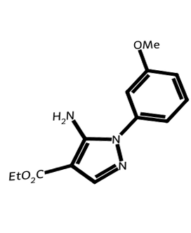 CCOC(=O)c1cnn(-c2cccc(OC)c2)c1N